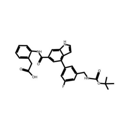 CC(C)(C)OC(=O)NCc1cc(F)cc(-c2cc(C(=O)Nc3ccccc3CC(=O)O)cc3[nH]ccc23)c1